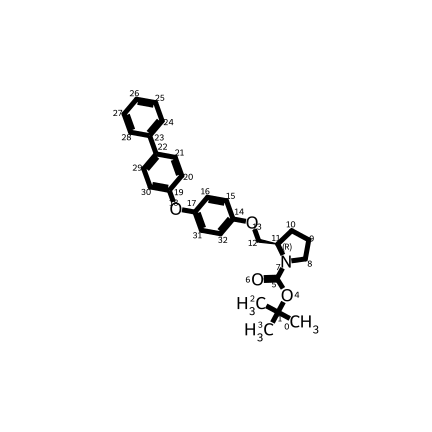 CC(C)(C)OC(=O)N1CCC[C@@H]1COc1ccc(Oc2ccc(-c3ccccc3)cc2)cc1